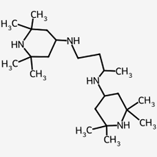 CC(CCNC1CC(C)(C)NC(C)(C)C1)NC1CC(C)(C)NC(C)(C)C1